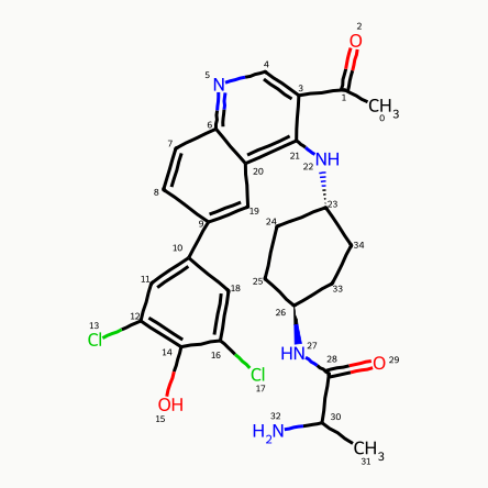 CC(=O)c1cnc2ccc(-c3cc(Cl)c(O)c(Cl)c3)cc2c1N[C@H]1CC[C@H](NC(=O)C(C)N)CC1